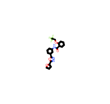 O=C(Nc1cccc(-c2nnc(-c3ccco3)o2)c1)c1ccccc1OCC(F)(F)F